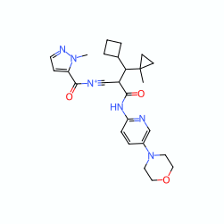 Cn1nccc1C(=O)[N+]#CC(C(=O)Nc1ccc(N2CCOCC2)cn1)C(C1CCC1)C1(C)CC1